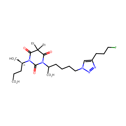 CCC1(CC)C(=O)N(C(CCCCn2cc(CCCF)nn2)C(=O)O)C(=O)N([C@@H](CCC(=O)O)C(=O)O)C1=O